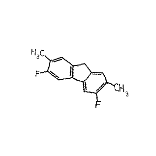 Cc1cc2c(cc1F)-c1cc(F)c(C)cc1C2